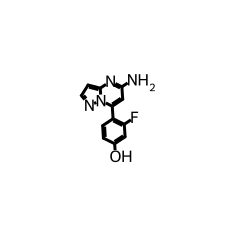 Nc1cc(-c2ccc(O)cc2F)n2nccc2n1